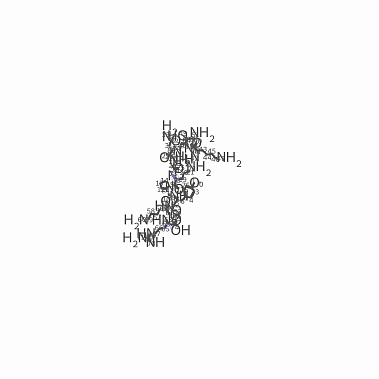 COc1ccc(C[C@H](NC(=O)[C@@H]2CCCN2C(=O)/C(CCCN)=N/C(=O)CNC(=O)[C@H](CCN)NC(=O)[C@@H](NC(=O)[C@@H](N)CCCCN)[C@@H](O)CN)C(=O)N[C@@H](CCCCN)C(=O)N/C(=C\CCNC(=N)N)C(=O)O)cc1